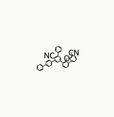 N#Cc1c(-c2ccccc2)cc(-c2cccc3c2oc2c(C#N)cccc23)cc1-c1ccc(-c2ccccc2)cc1